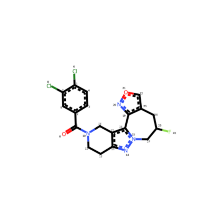 O=C(c1ccc(Cl)c(Cl)c1)N1CCc2nn3c(c2C1)-c1nocc1CC(F)C3